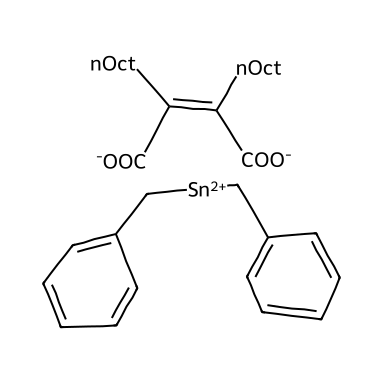 CCCCCCCC/C(C(=O)[O-])=C(\CCCCCCCC)C(=O)[O-].c1ccc([CH2][Sn+2][CH2]c2ccccc2)cc1